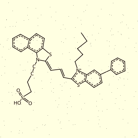 CCCCC[n+]1c(/C=C/C=C2\Sc3ccc4ccccc4c3N2CCCCS(=O)(=O)O)sc2ccc(-c3ccccc3)cc21